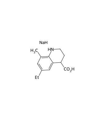 CCc1cc(C)c2c(c1)C(C(=O)O)CCN2.[NaH]